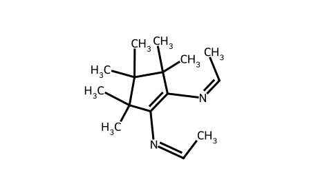 C/C=N\C1=C(/N=C\C)C(C)(C)C(C)(C)C1(C)C